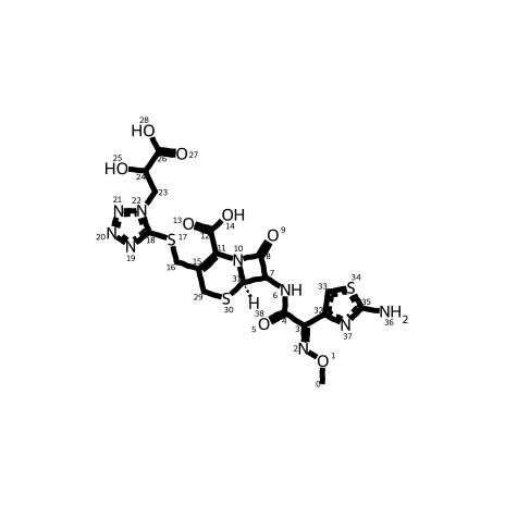 CO/N=C(/C(=O)NC1C(=O)N2C(C(=O)O)=C(CSc3nnnn3CC(O)C(=O)O)CS[C@H]12)c1csc(N)n1